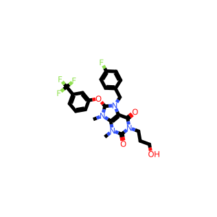 CN1c2c(c(=O)n(CCCO)c(=O)n2C)N(Cc2ccc(F)cc2)C1Oc1cccc(C(F)(F)F)c1